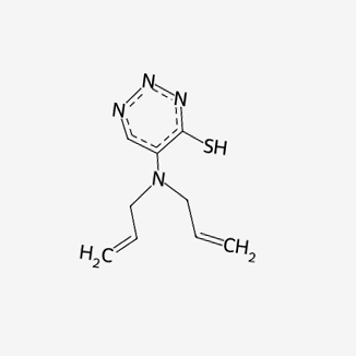 C=CCN(CC=C)c1cnnnc1S